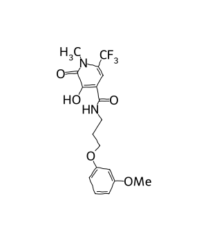 COc1cccc(OCCCNC(=O)c2cc(C(F)(F)F)n(C)c(=O)c2O)c1